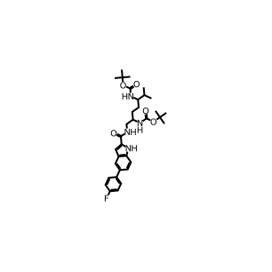 CC(C)C(CCC(CNC(=O)c1cc2cc(-c3ccc(F)cc3)ccc2[nH]1)NC(=O)OC(C)(C)C)NC(=O)OC(C)(C)C